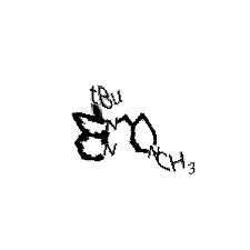 CN1CCC(Cn2c(C(C)(C)C)cc3cccnc32)CC1